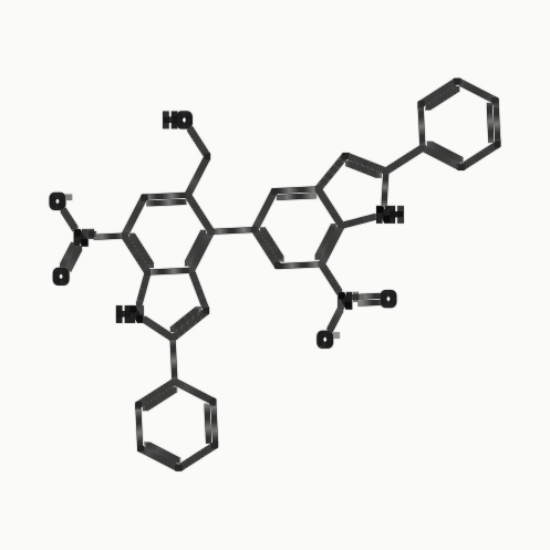 O=[N+]([O-])c1cc(-c2c(CO)cc([N+](=O)[O-])c3[nH]c(-c4ccccc4)cc23)cc2cc(-c3ccccc3)[nH]c12